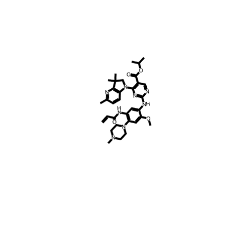 C=CC(=O)Nc1cc(Nc2ncc(C(=O)OC(C)C)c(N3CC(C)(C)c4nc(C)ccc43)n2)c(OC)cc1N1CCN(C)CC1